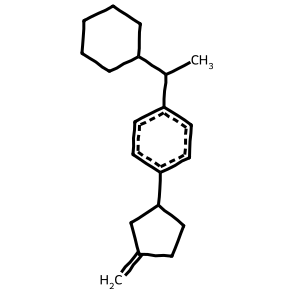 C=C1CCC(c2ccc(C(C)C3CCCCC3)cc2)C1